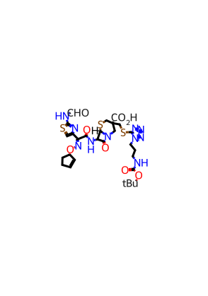 CC(C)(C)OC(=O)NCCCn1nnnc1SCC1(C(=O)O)CS[C@@H]2C(NC(=O)C(=NOC3C=CCC3)c3csc(NC=O)n3)C(=O)N2C1